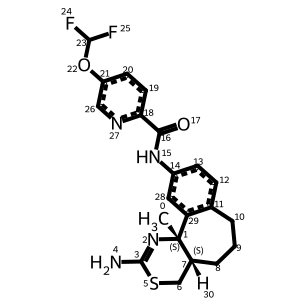 C[C@]12N=C(N)SC[C@H]1CCCc1ccc(NC(=O)c3ccc(OC(F)F)cn3)cc12